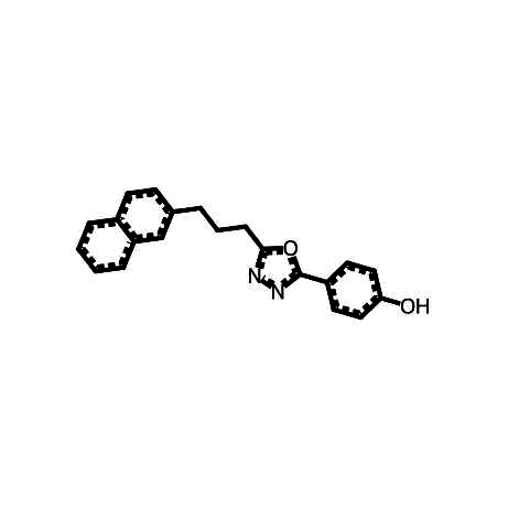 Oc1ccc(-c2nnc(CCCc3ccc4ccccc4c3)o2)cc1